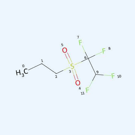 CCCS(=O)(=O)C(F)(F)C(F)F